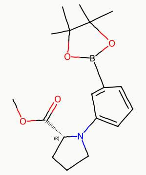 COC(=O)[C@H]1CCCN1c1cccc(B2OC(C)(C)C(C)(C)O2)c1